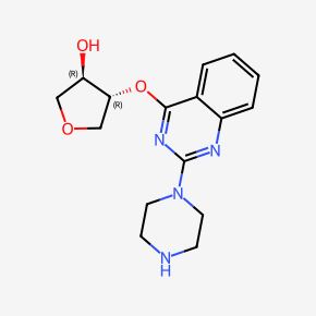 O[C@@H]1COC[C@H]1Oc1nc(N2CCNCC2)nc2ccccc12